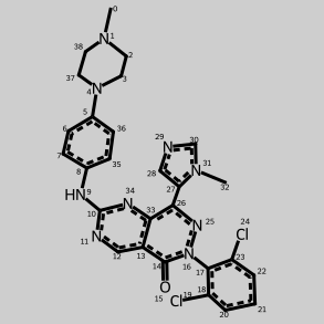 CN1CCN(c2ccc(Nc3ncc4c(=O)n(-c5c(Cl)cccc5Cl)nc(-c5cncn5C)c4n3)cc2)CC1